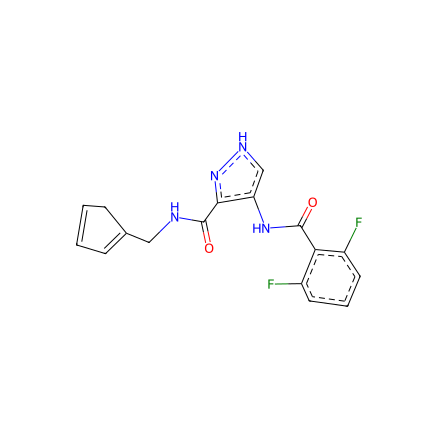 O=C(NCC1=CC=CC1)c1n[nH]cc1NC(=O)c1c(F)cccc1F